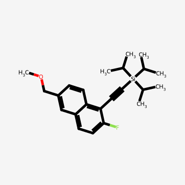 COCc1ccc2c(C#C[Si](C(C)C)(C(C)C)C(C)C)c(F)ccc2c1